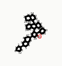 c1ccc(-c2ccc3cc(-c4cc(-c5c6ccccc6c(-c6cccc7ccccc67)c6ccccc56)c5c(c4)oc4ccccc45)ccc3c2)cc1